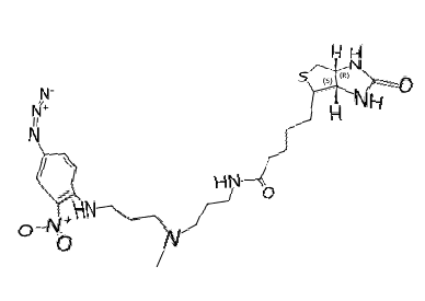 CN(CCCNC(=O)CCCCC1SC[C@@H]2NC(=O)N[C@H]12)CCCNc1ccc(N=[N+]=[N-])cc1[N+](=O)[O-]